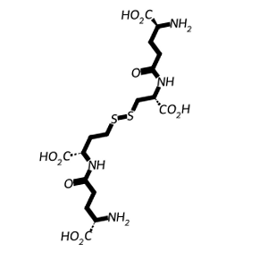 N[C@@H](CCC(=O)N[C@@H](CCSSC[C@H](NC(=O)CC[C@H](N)C(=O)O)C(=O)O)C(=O)O)C(=O)O